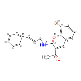 CC(=O)C(=Cc1cccc(Br)c1)C(=O)NCC=Cc1ccccc1